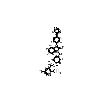 Cc1ncc(Cl)cc1C(=O)N[C@H]1CC[C@H](Cn2c(=O)n(-c3ccc(-c4cocn4)cc3)c3ccccc32)CC1